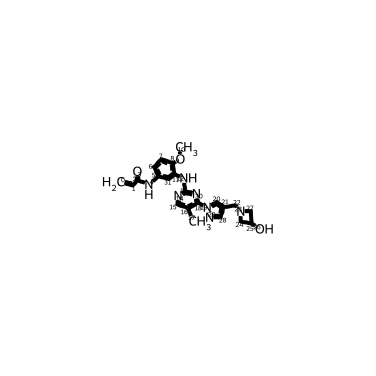 C=CC(=O)Nc1ccc(OC)c(Nc2ncc(C)c(-n3cc(CN4CC(O)C4)cn3)n2)c1